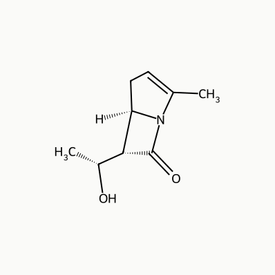 CC1=CC[C@@H]2[C@@H]([C@@H](C)O)C(=O)N12